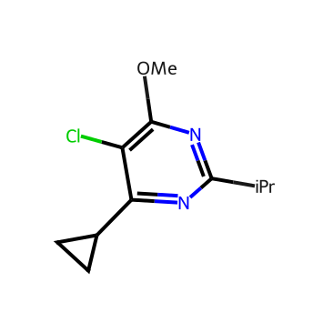 COc1nc(C(C)C)nc(C2CC2)c1Cl